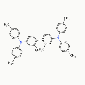 Cc1ccc(N(c2ccc(C)cc2)c2ccc(-c3ccc(N(c4ccc(C)cc4)c4ccc(C)cc4)cc3C)c(C)c2)cc1